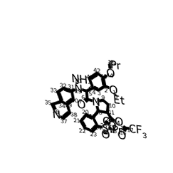 CCOc1cc(C(C(=O)N2CCC(C(=O)OC(=O)C(F)(F)F)C2c2ccccc2S(=O)(=O)C(C)C)N(N)c2ccc3cnccc3c2)ccc1OC(C)C